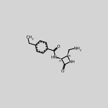 CCc1ccc(C(=O)N[C@@H]2C(=O)N[C@@H]2CN)cc1